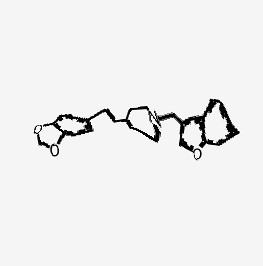 C(=Cc1ccc2c(c1)OCO2)C1=CCN(Cc2coc3ccccc23)CC1